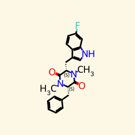 CN1C(=O)[C@H](Cc2c[nH]c3cc(F)ccc23)N(C)C(=O)[C@@H]1Cc1ccccc1